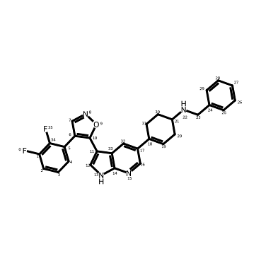 Fc1cccc(-c2cnoc2-c2c[nH]c3ncc(C4=CCC(NCc5ccccc5)CC4)cc23)c1F